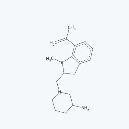 C=C(C)c1cccc2c1B(C)C(CN1CCCC(N)C1)C2